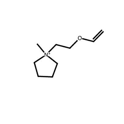 C=COCC[N+]1(C)CCCC1